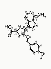 COc1ccc(CO[C@H]2C[C@@H](C(=O)O)C[C@H]2n2cnc3c(N)ncnc32)cc1